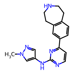 Cn1cc(Nc2nccc(-c3ccc4c(c3)CCNCC4)n2)cn1